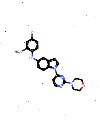 O=C(O)c1cc(Cl)ccc1Nc1ccc2c(ccn2-c2ccnc(N3CCOCC3)n2)c1